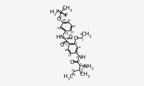 CCOc1cc(NC(=O)[C@@H](N)C(C)CC)ccc1S(=O)(=O)Nc1cccc(OC(C)(F)P)c1